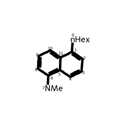 CCCCCCc1cccc2c(NC)cccc12